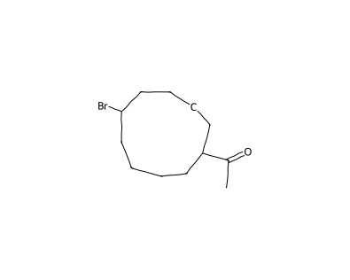 CC(=O)C1CCCCC(Br)CCCC1